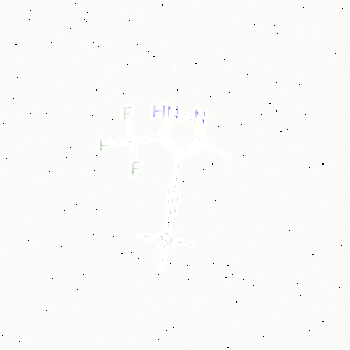 Cc1n[nH]c(C(F)(F)F)c1C#C[Si](C)(C)C